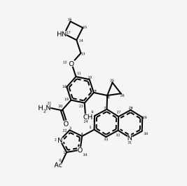 CC(=O)c1ncc(-c2cc(C3(c4cc(OCC5CCN5)cc(C(N)=O)c4C)CC3)c3cccnc3c2)o1